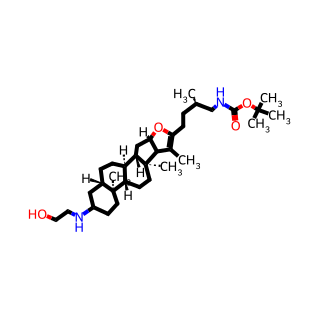 CC1=C(CC[C@H](C)CNC(=O)OC(C)(C)C)O[C@H]2C[C@H]3[C@@H]4CC[C@H]5CC(NCCO)CC[C@]5(C)[C@H]4CC[C@]3(C)C12